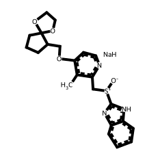 Cc1c(OCC2CCCC23OCCO3)ccnc1C[S+]([O-])c1nc2ccccc2[nH]1.[NaH]